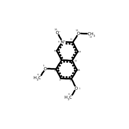 COc1cc(OC)c2c[n+]([O-])c(OC)cc2c1